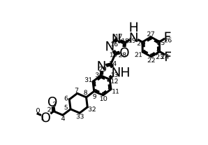 COC(=O)CC1CCC(c2ccc3[nH]c(-c4nnc(Nc5ccc(F)c(F)c5)o4)nc3c2)CC1